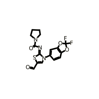 O=Cc1cn(-c2ccc3c(c2)OC(F)(F)O3)c(=NC(=O)N2CCCC2)s1